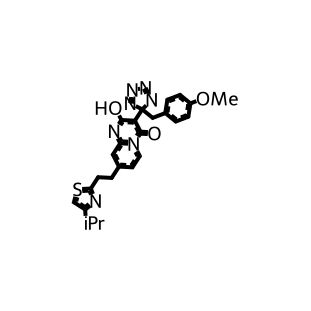 COc1ccc(CC2(c3c(O)nc4cc(CCc5nc(C(C)C)cs5)ccn4c3=O)N=NN=N2)cc1